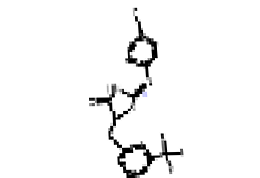 O=C1N/C(=N\c2ccc(F)cc2)SC1Cc1cccc(C(F)(F)F)c1